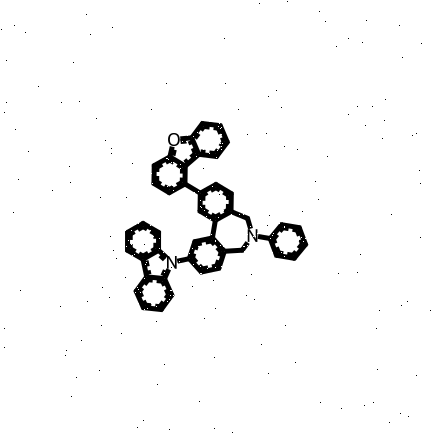 c1ccc(N2Cc3ccc(-c4cccc5oc6ccccc6c45)cc3-c3cc(-n4c5ccccc5c5ccccc54)ccc3C2)cc1